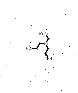 N=CCN(CCN)CC(=O)O